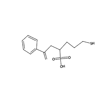 C=C(CC(CCCS)S(=O)(=O)O)c1ccccc1